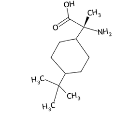 CC(C)(C)C1CCC([C@@](C)(N)C(=O)O)CC1